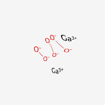 [Ga+3].[Ga+3].[O-][O-].[O-][O-].[O-][O-]